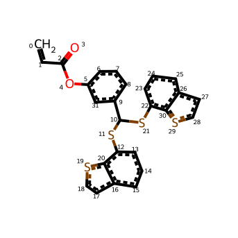 C=CC(=O)Oc1cccc(C(Sc2cccc3ccsc23)Sc2cccc3ccsc23)c1